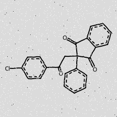 O=C(CC1(c2ccccc2)C(=O)c2ccccc2C1=O)c1ccc(Cl)cc1